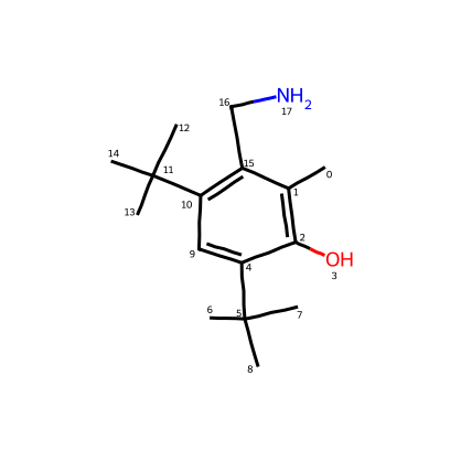 Cc1c(O)c(C(C)(C)C)cc(C(C)(C)C)c1CN